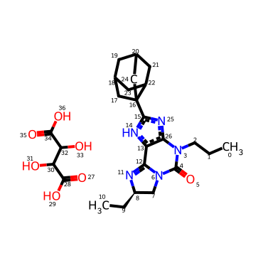 CCCN1C(=O)N2C[C@@H](CC)N=C2c2[nH]c(C34CC5CC(CC3C5)C4)nc21.O=C(O)C(O)C(O)C(=O)O